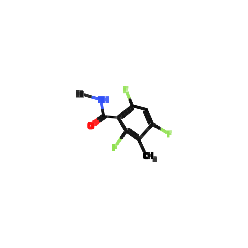 CCNC(=O)c1c(F)cc(F)c(C)c1F